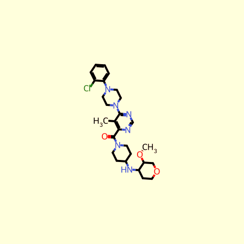 COC1COCCC1NC1CCN(C(=O)c2ncnc(N3CCN(c4ccccc4Cl)CC3)c2C)CC1